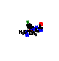 CNCC(C)Oc1ccc(F)cc1CNc1ccn2ncc(C=O)c2n1